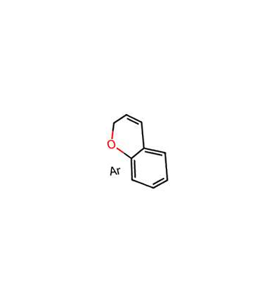 C1=Cc2ccccc2OC1.[Ar]